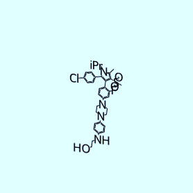 Cc1c(S(C)(=O)=O)c(-c2ccc(N3CCN(c4ccc(NCCO)cc4)CC3)cc2F)c(-c2ccc(Cl)cc2)n1C(C)C